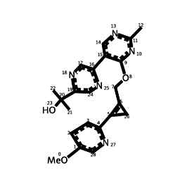 COc1ccc(C2=C(COc3nc(C)ncc3-c3cnc(C(C)(C)O)cn3)C2)nc1